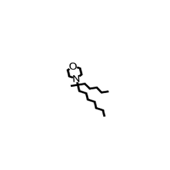 CCCCCCCC(C)(CCCCC)N1CCOCC1